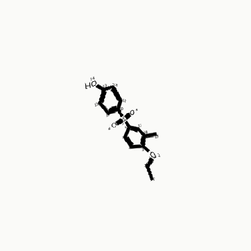 CCOc1ccc(S(=O)(=O)c2ccc(O)cc2)cc1C